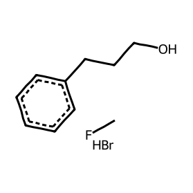 Br.CF.OCCCc1ccccc1